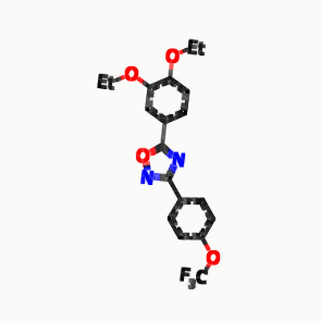 CCOc1ccc(-c2nc(-c3ccc(OC(F)(F)F)cc3)no2)cc1OCC